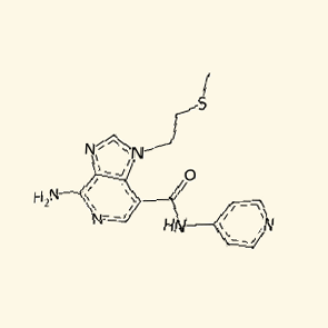 CSCCn1cnc2c(N)ncc(C(=O)Nc3ccncc3)c21